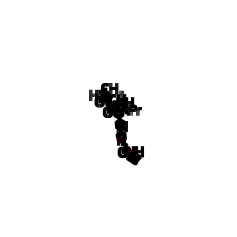 Cc1cc(C)c(CNC(=O)c2cc(-c3ccc(N4CCN(CCC(=O)NC56CC7CC8CC(C5)C876)CC4)nc3)cc(NC(C)C)c2C=N)c(=O)[nH]1